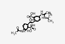 C=C(Nc1ccc(/C=C/c2ccc(NC(C)=O)cc2P(=O)(O)O)c(P(=O)(O)O)c1)NC(C)C